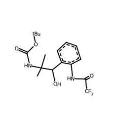 CC(C)(C)OC(=O)NC(C)(C)C(O)c1ccccc1NC(=O)C(F)(F)F